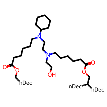 CCCCCCCCCCCOC(=O)CCCCCN(CCN(CCO)CCCCCC(=O)OCC(CCCCCCCCCC)CCCCCCCCCC)C1CCCCC1